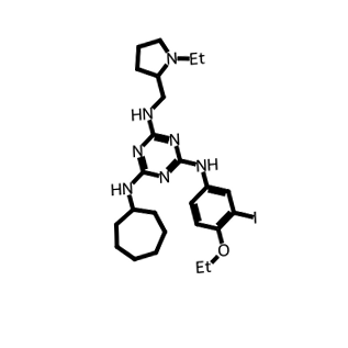 CCOc1ccc(Nc2nc(NCC3CCCN3CC)nc(NC3CCCCCC3)n2)cc1I